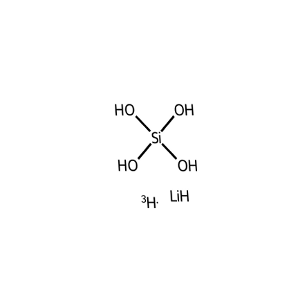 O[Si](O)(O)O.[3H].[LiH]